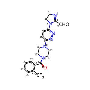 O=CC1=NCCN1c1ccc(N2CCN(C(=O)c3ccccc3C(F)(F)F)CC2)nn1